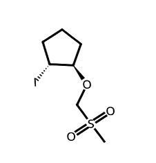 CS(=O)(=O)CO[C@@H]1CCC[C@H]1I